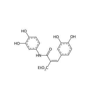 CCOC(=O)C(=Cc1ccc(O)c(O)c1)C(=O)Nc1ccc(O)c(O)c1